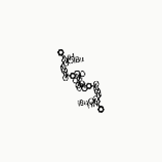 CC(C)COC(=O)NC(CCCN1CCN(C(=O)c2ccc3c(c2)CCC(=O)N3OC(=O)C(=O)ON2C(=O)CCc3cc(C(=O)N4CCN(CCCC(NC(=O)OCC(C)C)c5ccccc5)CC4)ccc32)CC1)c1ccccc1